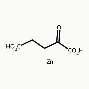 O=C(O)CCC(=O)C(=O)O.[Zn]